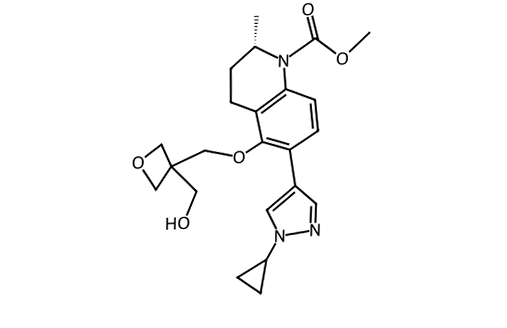 COC(=O)N1c2ccc(-c3cnn(C4CC4)c3)c(OCC3(CO)COC3)c2CC[C@@H]1C